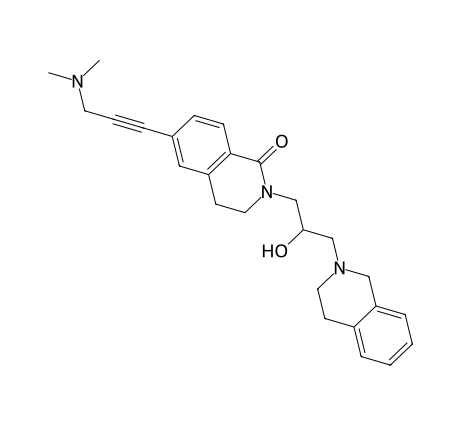 CN(C)CC#Cc1ccc2c(c1)CCN(CC(O)CN1CCc3ccccc3C1)C2=O